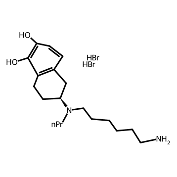 Br.Br.CCCN(CCCCCCN)[C@H]1CCc2c(ccc(O)c2O)C1